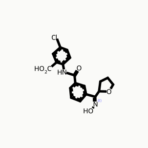 O=C(Nc1ccc(Cl)cc1C(=O)O)c1cccc(/C(=N\O)C2CCCO2)c1